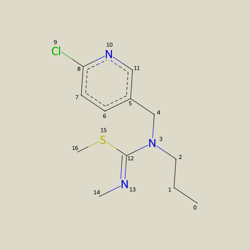 CCCN(Cc1ccc(Cl)nc1)C(=NC)SC